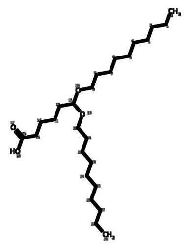 CCCCCCCCCCOC(CCCCC(=O)O)OCCCCCCCCCC